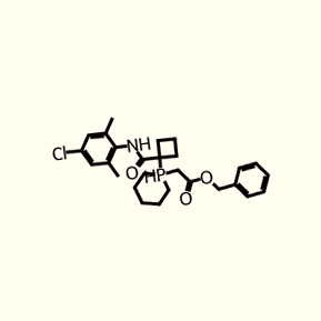 Cc1cc(Cl)cc(C)c1NC(=O)C1([PH]2(CC(=O)OCc3ccccc3)CCCCC2)CCC1